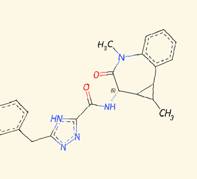 CC1C2c3ccccc3N(C)C(=O)[C@@H](NC(=O)c3nnc(Cc4ccccc4)[nH]3)C12